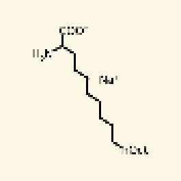 CCCCCCCCCCCCCCCCC(N)C(=O)[O-].[Na+]